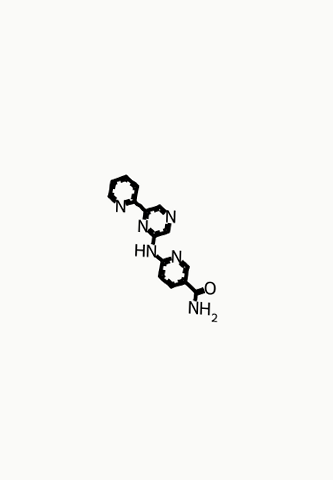 NC(=O)c1ccc(Nc2cncc(-c3ccccn3)n2)nc1